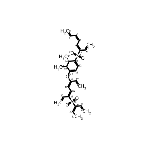 C=C/C=C\C=C(/C=C)S(=O)(=O)C1=CC=C(O/C(C=C)=C/C=C(\C=C)S(=O)(=O)/C(C=C)=C/C)C(C)[C@@H]1C